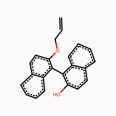 C=CCOc1ccc2ccccc2c1-c1c(O)ccc2ccccc12